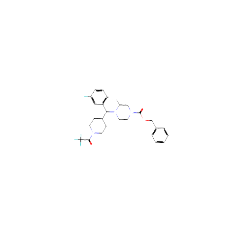 CC1CN(C(=O)OCc2ccccc2)CCN1C(c1cccc(F)c1)C1CCN(C(=O)C(F)(F)F)CC1